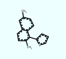 Cc1ccc2c(-c3cccs3)c(C)ccc2c1